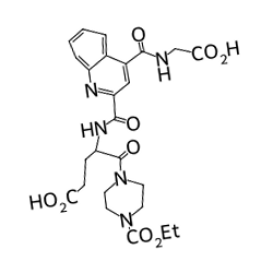 CCOC(=O)N1CCN(C(=O)C(CCC(=O)O)NC(=O)c2cc(C(=O)NCC(=O)O)c3ccccc3n2)CC1